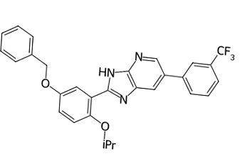 CC(C)Oc1ccc(OCc2ccccc2)cc1-c1nc2cc(-c3cccc(C(F)(F)F)c3)cnc2[nH]1